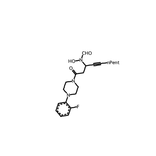 CCCCCC#CC(CC(=O)N1CCN(c2ccccc2F)CC1)N(O)C=O